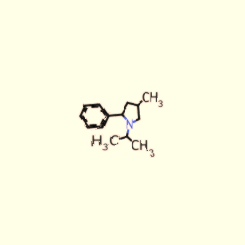 CC1CC(c2ccccc2)N(C(C)C)C1